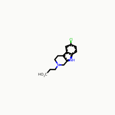 O=C(O)CCN1CCc2c([nH]c3ccc(Cl)cc23)C1